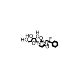 O=c1ccn(C2OC(CO)[C@H](O)C2O)c(=O)n1CC(F)(F)c1ccccc1